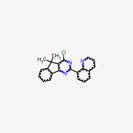 CC1(C)c2ccccc2-c2nc(-c3cccc4cccnc34)nc(Cl)c21